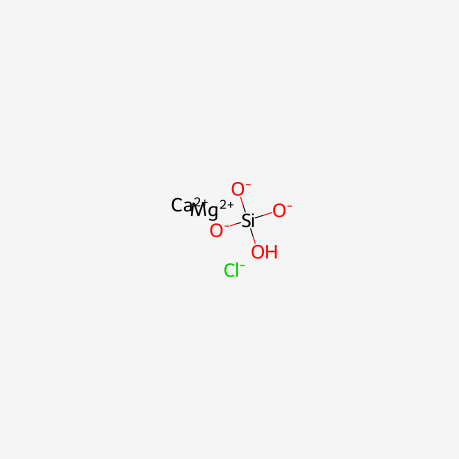 [Ca+2].[Cl-].[Mg+2].[O-][Si]([O-])([O-])O